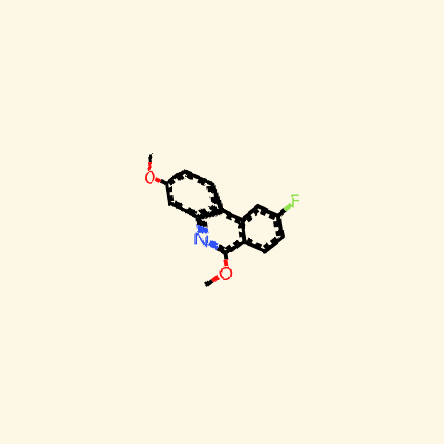 COc1ccc2c(c1)nc(OC)c1ccc(F)cc12